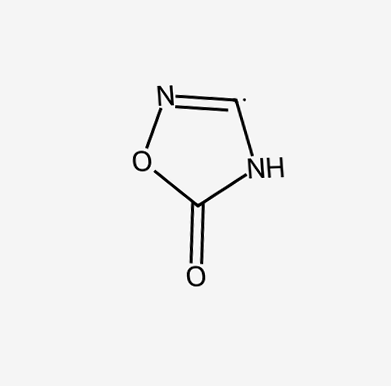 O=c1[nH][c]no1